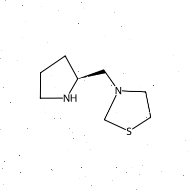 C1CN[C@H](CN2CCSC2)C1